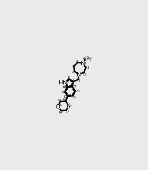 CC(C)N1CCCN(Cc2c[nH]c3cc(C4COCC[N]4)ccc23)CC1